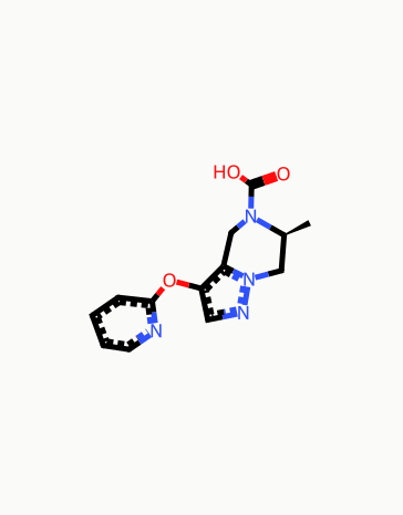 C[C@H]1Cn2ncc(Oc3ccccn3)c2CN1C(=O)O